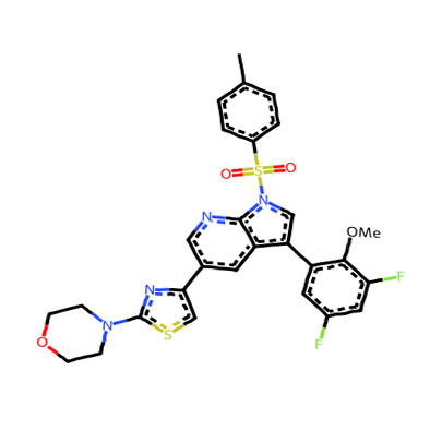 COc1c(F)cc(F)cc1-c1cn(S(=O)(=O)c2ccc(C)cc2)c2ncc(-c3csc(N4CCOCC4)n3)cc12